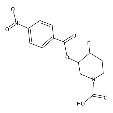 O=C(OC1CN(C(=O)O)CCC1F)c1ccc([N+](=O)[O-])cc1